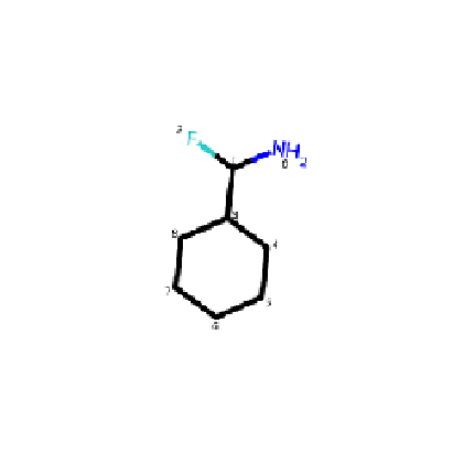 NC(F)C1CCCCC1